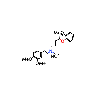 CC#N.COc1ccc(CCN(C)CCCC(Oc2ccccc2OC)C(C)C)cc1OC